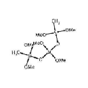 CO[Si](C)(OC)O[Si](OC)(OC)O[Si](C)(OC)OC